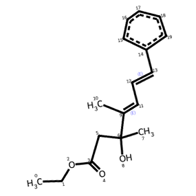 CCOC(=O)CC(C)(O)/C(C)=C/C=C/c1ccccc1